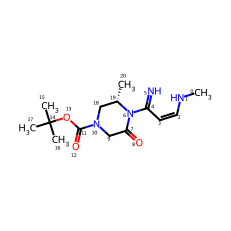 CN/C=C\C(=N)N1C(=O)CN(C(=O)OC(C)(C)C)C[C@@H]1C